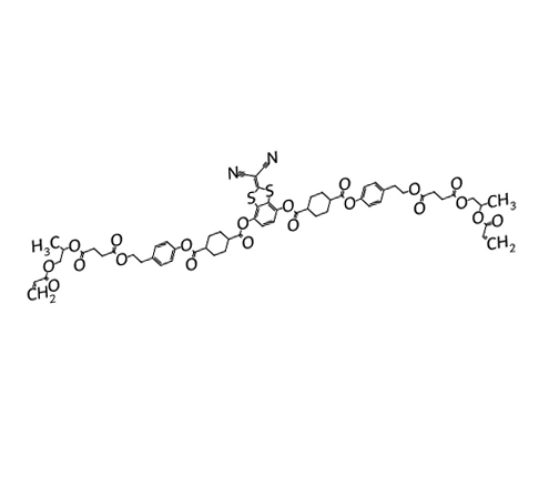 C=CC(=O)OCC(C)OC(=O)CCC(=O)OCCc1ccc(OC(=O)C2CCC(C(=O)Oc3ccc(OC(=O)C4CCC(C(=O)Oc5ccc(CCOC(=O)CCC(=O)OCC(C)OC(=O)C=C)cc5)CC4)c4c3SC(=C(C#N)C#N)S4)CC2)cc1